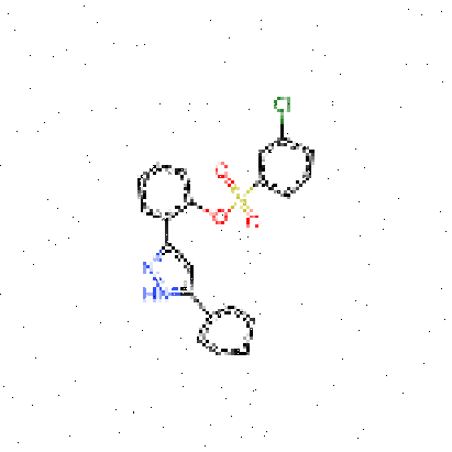 O=S(=O)(Oc1ccccc1-c1cc(-c2ccccc2)[nH]n1)c1cccc(Cl)c1